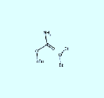 CCCCOC(N)=O.CCOCC